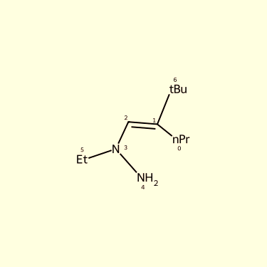 CCC/C(=C\N(N)CC)C(C)(C)C